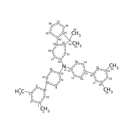 Cc1cc(C)cc(-c2ccc(N(c3ccc(-c4cc(C)cc(C)c4)cc3)c3ccc4c(c3)C(C)(C)c3ccccc3-4)cc2)c1